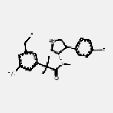 CN(C(=O)C(C)(C)c1cc(CF)cc(C(F)(F)F)c1)[C@@H]1CNC[C@H]1c1ccc(F)cc1